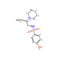 O=C(O)[C@H](CNS(=O)(=O)c1ccc(O)cc1)N1CCCCC1